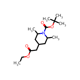 CCOC(=O)CC1CC(C)N(C(=O)OC(C)(C)C)C(C)C1